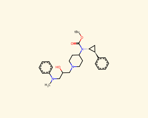 CN(CC(O)CN1CCC(N(C(=O)OC(C)(C)C)[C@@H]2C[C@H]2c2ccccc2)CC1)c1ccccc1